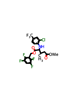 COC(=O)CC(C)C(Nc1ccc(C(F)(F)F)cc1Cl)C(=O)OCc1c(F)c(F)cc(F)c1F